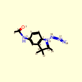 CC(=O)Nc1ccc2c(c1)C(C)(C)C(C)=[N+]2N=[N+]=[N-]